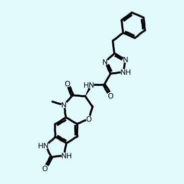 CN1C(=O)[C@@H](NC(=O)c2nc(Cc3ccccc3)n[nH]2)COc2cc3[nH]c(=O)[nH]c3cc21